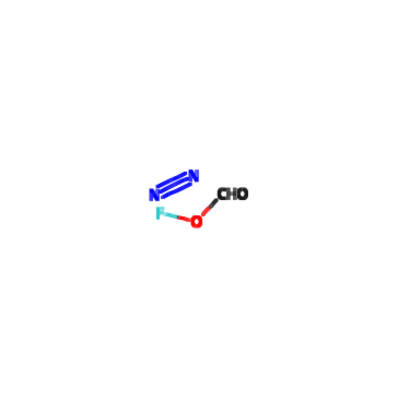 N#N.O=COF